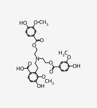 COc1cc(C(=O)OCCN(CCOC(=O)c2ccc(O)c(OC)c2)CCc2c(C(=O)O)ccc(O)c2OC)ccc1O